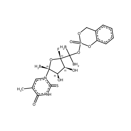 BC(B)(OP1(=O)OCc2ccccc2O1)[C@@]1(F)O[C@@](B)(n2cc(C)c(=O)[nH]c2=S)[C@H](O)[C@@H]1O